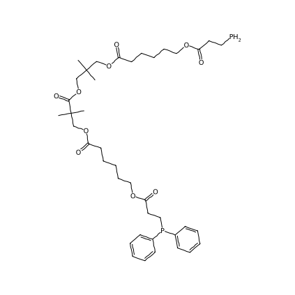 CC(C)(COC(=O)CCCCCOC(=O)CCP)COC(=O)C(C)(C)COC(=O)CCCCCOC(=O)CCP(c1ccccc1)c1ccccc1